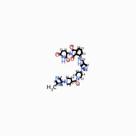 Cc1cncc(N2CCC(C(=O)N3CCC(n4cc(CNc5cccc6c5C(=O)N(C5CCC(=O)NC5=O)C6=O)cn4)CC3)CC2)n1